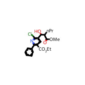 CCCC(C(=O)OC)C(O)c1cc(C(=O)OCC)c(-c2ccccc2)nc1Cl